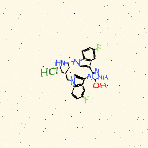 Cl.Cn1cc(C2=NNC(O)N2c2cn(CC3CCNCC3)c3ccc(F)cc23)c2cc(F)ccc21